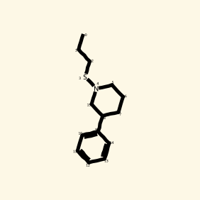 CCCSN1CCCC(c2ccccc2)C1